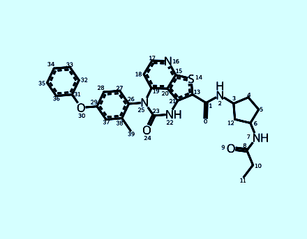 C=C(NC1CCC(NC(=O)CC)C1)c1sc2nccc3c2c1NC(=O)N3c1ccc(Oc2ccccc2)cc1C